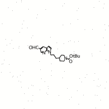 CC(C)(C)OC(=O)N1CCC(CCCn2ccc3cc(C=O)cnc32)CC1